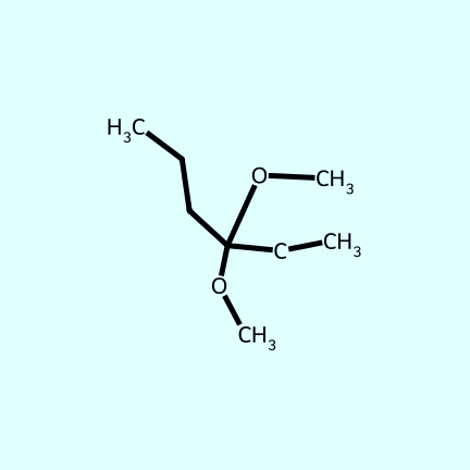 CCCC(CC)(OC)OC